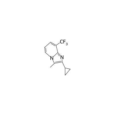 Cc1c(C2CC2)nc2c(C(F)(F)F)cccn12